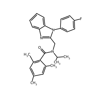 Cc1cc(C)c(C(=O)N(Cc2nc3ccccc3n2-c2ccc(F)cc2)C(C)C)c(C)c1